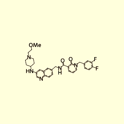 COCCN1CCC(Nc2cnc3ccc(CNC(=O)c4cccn(Cc5ccc(F)c(F)c5)c4=O)cc3c2)CC1